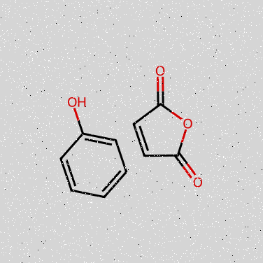 O=C1C=CC(=O)O1.Oc1ccccc1